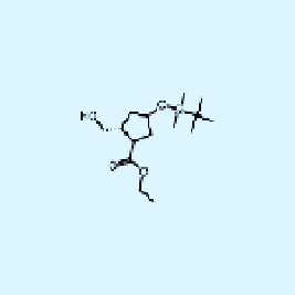 CCOC(=O)[C@@H]1C[C@H](O[Si](C)(C)C(C)(C)C)C[C@H]1CO